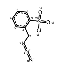 [N-]=[N+]=NCc1ccccc1S(=O)(=O)Cl